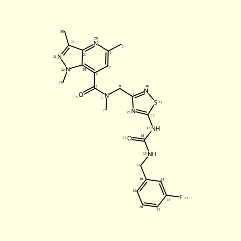 Cc1cc(C(=O)N(C)Cc2nsc(NC(=O)NCc3cccc(F)c3)n2)c2c(n1)c(C)nn2C